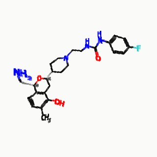 Cc1ccc2c(c1O)C[C@@H](C1CCN(CCNC(=O)Nc3ccc(F)cc3)CC1)O[C@H]2CN